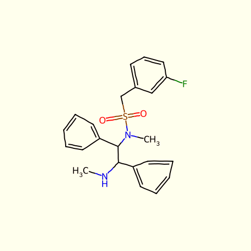 CNC(c1ccccc1)C(c1ccccc1)N(C)S(=O)(=O)Cc1cccc(F)c1